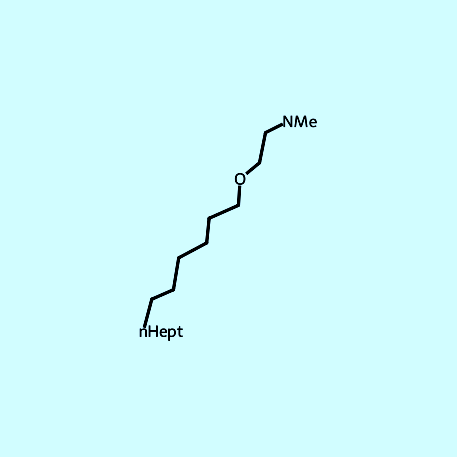 CCCCCCCCCCCCCOCCNC